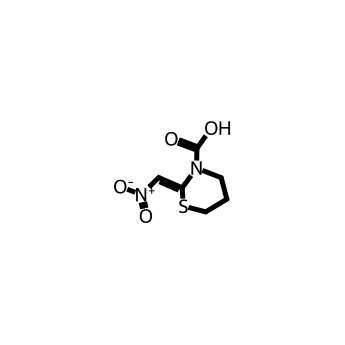 O=C(O)N1CCCSC1=C[N+](=O)[O-]